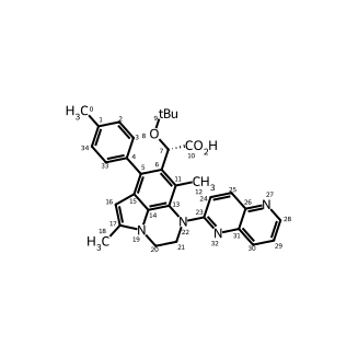 Cc1ccc(-c2c([C@H](OC(C)(C)C)C(=O)O)c(C)c3c4c2cc(C)n4CCN3c2ccc3ncccc3n2)cc1